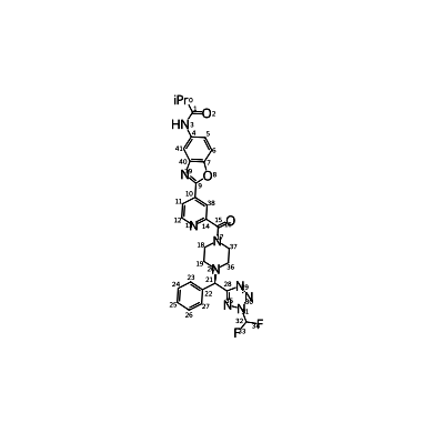 CC(C)C(=O)Nc1ccc2oc(-c3ccnc(C(=O)N4CCN([C@H](c5ccccc5)c5nnn(C(F)F)n5)CC4)c3)nc2c1